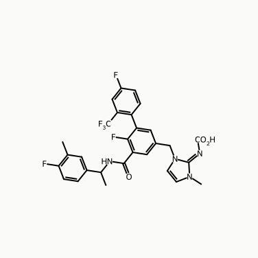 Cc1cc(C(C)NC(=O)c2cc(Cn3ccn(C)/c3=N/C(=O)O)cc(-c3ccc(F)cc3C(F)(F)F)c2F)ccc1F